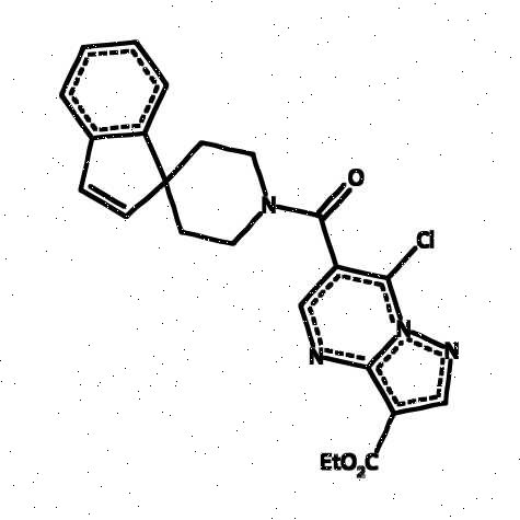 CCOC(=O)c1cnn2c(Cl)c(C(=O)N3CCC4(C=Cc5ccccc54)CC3)cnc12